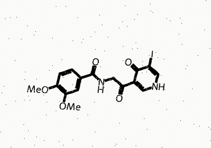 COc1ccc(C(=O)NCC(=O)c2c[nH]cc(I)c2=O)cc1OC